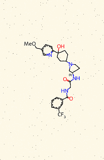 COCc1ccc(C2(O)CCC(N3CC[C@@H](NC(=O)CNC(=O)c4cccc(C(F)(F)F)c4)C3)CC2)nc1